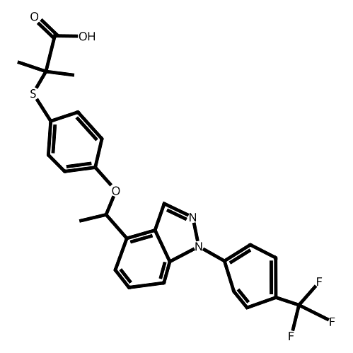 CC(Oc1ccc(SC(C)(C)C(=O)O)cc1)c1cccc2c1cnn2-c1ccc(C(F)(F)F)cc1